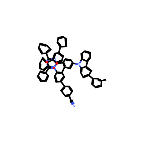 Cc1cccc(-c2ccc3c(c2)c2ccccc2n3-c2ccc(-c3nc(-c4ccccc4)nc(-c4ccccc4)n3)c(-c3cc(-c4ccc(C#N)cc4)ccc3-n3c4ccccc4c4cc(-c5ccccc5)ccc43)c2)c1